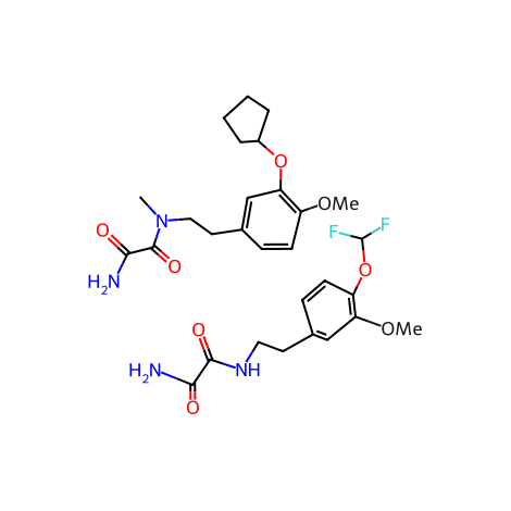 COc1cc(CCNC(=O)C(N)=O)ccc1OC(F)F.COc1ccc(CCN(C)C(=O)C(N)=O)cc1OC1CCCC1